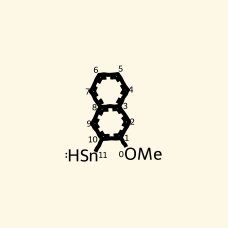 COc1cc2ccccc2c[c]1[SnH]